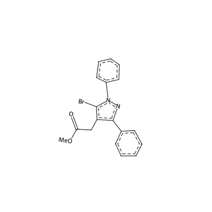 COC(=O)Cc1c(-c2ccccc2)nn(-c2ccccc2)c1Br